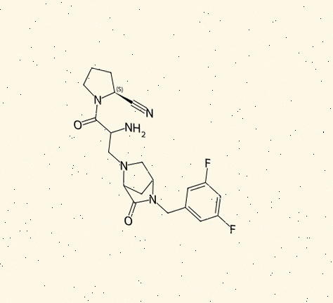 N#C[C@@H]1CCCN1C(=O)C(N)CN1CC2CC1C(=O)N2Cc1cc(F)cc(F)c1